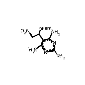 CCCCCC(C[N+](=O)[O-])c1c(N)nc(N)nc1N